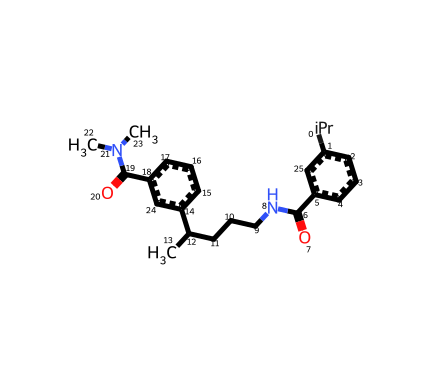 CC(C)c1cccc(C(=O)NCCCC(C)c2cccc(C(=O)N(C)C)c2)c1